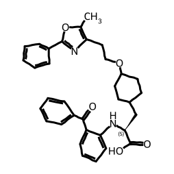 Cc1oc(-c2ccccc2)nc1CCOC1CCC(C[C@H](Nc2ccccc2C(=O)c2ccccc2)C(=O)O)CC1